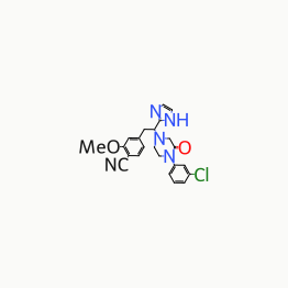 COc1cc(CC(c2ncc[nH]2)N2CCN(c3cccc(Cl)c3)C(=O)C2)ccc1C#N